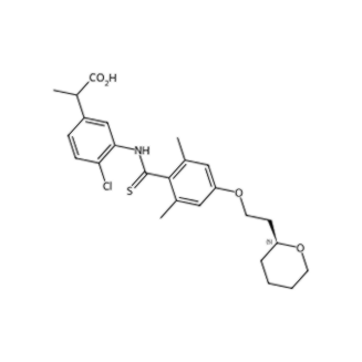 Cc1cc(OCC[C@@H]2CCCCO2)cc(C)c1C(=S)Nc1cc(C(C)C(=O)O)ccc1Cl